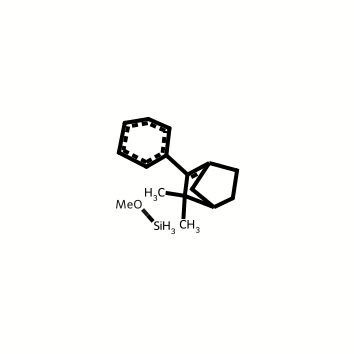 CC1(C)C(c2ccccc2)=C2CCC1C2.CO[SiH3]